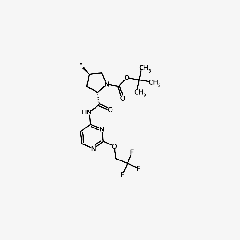 CC(C)(C)OC(=O)N1C[C@H](F)C[C@H]1C(=O)Nc1ccnc(OCC(F)(F)F)n1